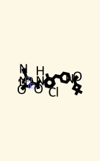 Cc1c(C=C2CCN(C(=O)C3CC(C)(C)C3)CC2)cc(Cl)cc1NC(=O)C(/C=C(/C#N)N(C)C)=C/C=O